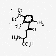 CCN(CC)c1ccc(N)c(C(=O)CCC(N)C(=O)O)c1C